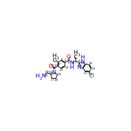 Cc1cc(C(=O)N[C@@H](C)c2nc3cc(Cl)ccc3[nH]2)ccc1C(=O)N1CCCC1CN